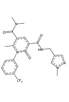 Cc1c(C(=O)N(C)C)cc(C(=O)NCc2cnn(C)c2)c(=O)n1-c1cccc(C(F)(F)F)c1